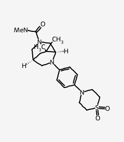 CNC(=O)N1C[C@@H]2CN(c3ccc(N4CCS(=O)(=O)CC4)cc3)[C@H](C1)C(C)(C)C2